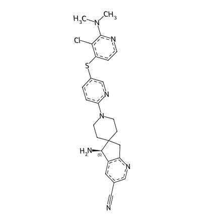 CN(C)c1nccc(Sc2ccc(N3CCC4(CC3)Cc3ncc(C#N)cc3[C@H]4N)nc2)c1Cl